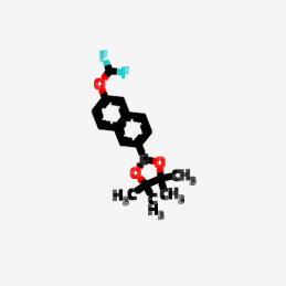 CC1(C)OB(c2ccc3cc(OC(F)F)ccc3c2)OC1(C)C